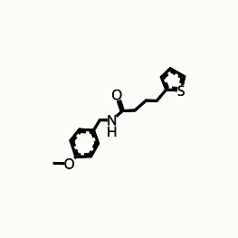 COc1ccc(CNC(=O)CCCc2cccs2)cc1